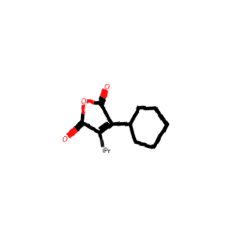 CC(C)C1=C(C2CCCCC2)C(=O)OC1=O